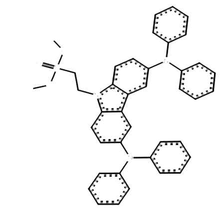 CCOP(=O)(CCn1c2ccc(N(c3ccccc3)c3ccccc3)cc2c2cc(N(c3ccccc3)c3ccccc3)ccc21)OCC